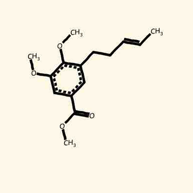 C/C=C/CCc1cc(C(=O)OC)cc(OC)c1OC